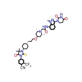 C[C@@H]1CC(OCCC[C@H]2CC[C@H](N3C(=S)N(c4ccc(C#N)c(C(F)(F)F)c4)C(=O)C3(C)C)CC2)C[C@H](C)N1CC(=O)Nc1cccc2c(N3CCC(=O)NC3=O)nn(C)c12